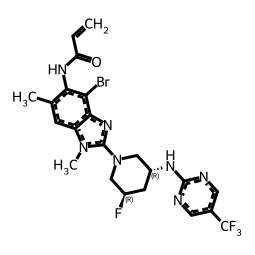 C=CC(=O)Nc1c(C)cc2c(nc(N3C[C@H](F)C[C@@H](Nc4ncc(C(F)(F)F)cn4)C3)n2C)c1Br